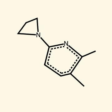 Cc1ccc(N2CCC2)nc1C